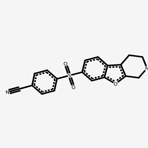 N#Cc1ccc(S(=O)(=O)c2ccc3c4c(oc3c2)CNCC4)cc1